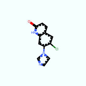 O=c1ccc2cc(Cl)c(-n3ccnc3)cc2[nH]1